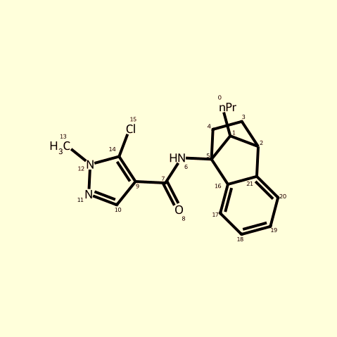 CCCC1C2CCC1(NC(=O)c1cnn(C)c1Cl)c1ccccc12